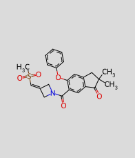 CC1(C)Cc2cc(Oc3ccccc3)c(C(=O)N3CC(=CS(C)(=O)=O)C3)cc2C1=O